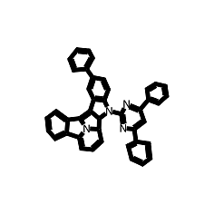 C1=CC2C3C(=c4c5ccccc5c(n42)=C1)c1cc(-c2ccccc2)ccc1N3c1nc(-c2ccccc2)cc(-c2ccccc2)n1